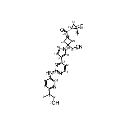 CC(CO)c1ccc(Nc2nccc(-c3ccn(C4(CC#N)CN(C(=O)[C@@H]5CC5(F)F)C4)c3)n2)cn1